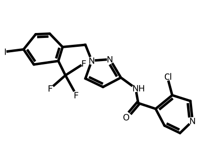 O=C(Nc1ccn(Cc2ccc(I)cc2C(F)(F)F)n1)c1ccncc1Cl